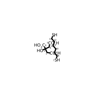 O=C(O)CC(O)(CC(=O)O)C(=O)O.SCCCCCCS